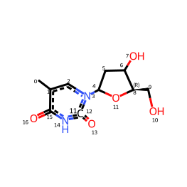 Cc1cn(C2CC(O)[C@@H](CO)O2)[11c](=O)[nH]c1=O